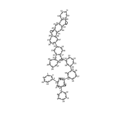 c1ccc(-c2nc(-c3ccccc3)nc(-c3cccc(-c4cccc(-n5c6ccccc6c6cc(-c7ccc8oc9cc%10c(cc9c8c7)oc7ccccc7%10)ccc65)c4)c3)n2)cc1